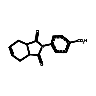 O=C(O)c1ccc(N2C(=O)C3CC=CCC3C2=O)cc1